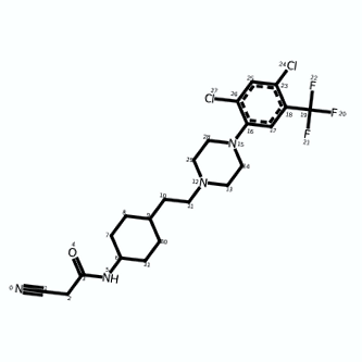 N#CCC(=O)NC1CCC(CCN2CCN(c3cc(C(F)(F)F)c(Cl)cc3Cl)CC2)CC1